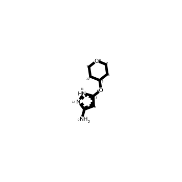 Nc1cc(OC2CCOCC2)[nH]n1